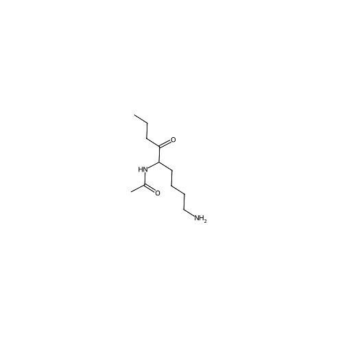 CCCC(=O)C(CCCCN)NC(C)=O